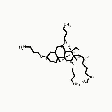 CCCCNCCC[C@@H](C)[C@H]1CC[C@H]2C3[C@H](OCCCN)CC4C[C@H](OCCCN)CCC4(C)[C@H]3C[C@H](OCCCN)C12C